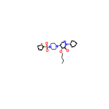 CCCCOc1c(N2CCN(S(=O)(=O)c3cccs3)CC2)cnn(-c2ccccc2)c1=O